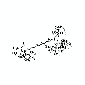 CC(C)N(C(C)C)P(OCCCOCSC(=O)CCNC(CO[Si](C)(C)C(C)(C)C)(CO[Si](C)(C)C(C)(C)C)CO[Si](C)(C)C(C)(C)C)N(C(C)C)C(C)C